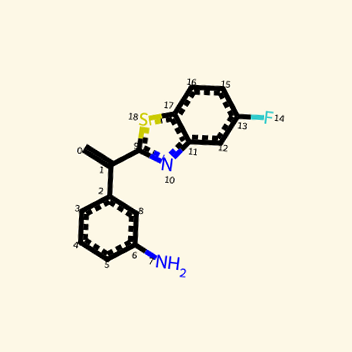 C=C(c1cccc(N)c1)c1nc2cc(F)ccc2s1